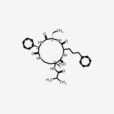 CC[C@@H]1NC(=O)C(CCCc2ccccc2)NC(=O)[C@](C)(NC(=O)C(C)C)CCNC(=O)[C@@H](c2ccccc2)NC1=O